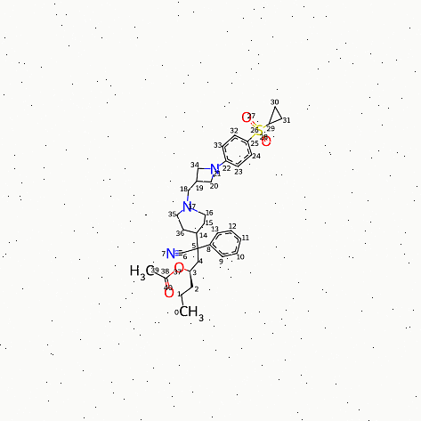 CCC[C@H](CC(C#N)(c1ccccc1)C1CCN(CC2CN(c3ccc(S(=O)(=O)C4CC4)cc3)C2)CC1)OC(C)=O